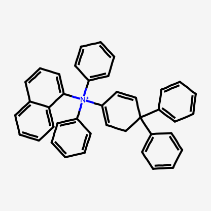 C1=CC(c2ccccc2)(c2ccccc2)CC=C1[N+](c1ccccc1)(c1ccccc1)c1cccc2ccccc12